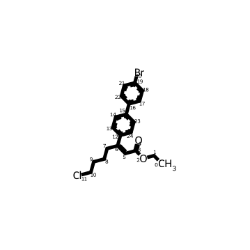 CCOC(=O)/C=C(/CCCCCl)c1ccc(-c2ccc(Br)cc2)cc1